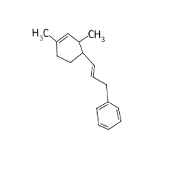 CC1=CC(C)C(C=CCc2ccccc2)CC1